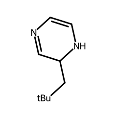 CC(C)(C)CC1C=NC=CN1